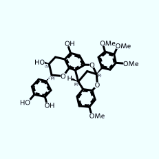 COc1ccc2c(c1)O[C@]1(c3cc(OC)c(OC)c(OC)c3)C[C@H]2c2c(cc(O)c3c2O[C@H](c2ccc(O)c(O)c2)[C@@H](O)C3)O1